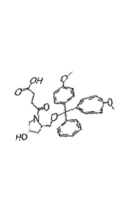 COc1ccc(C(OC[C@H]2C[C@H](O)CN2C(=O)CCC(=O)O)(c2ccccc2)c2ccc(OC)cc2)cc1